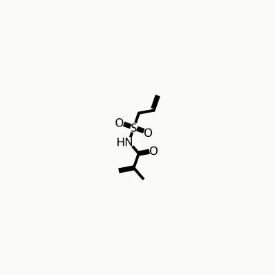 C=CCS(=O)(=O)NC(=O)C(=C)C